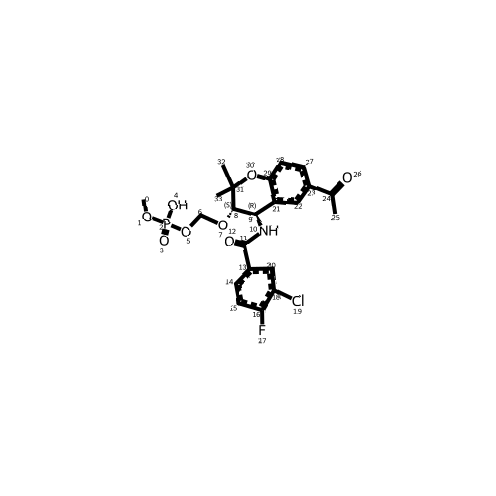 COP(=O)(O)OCO[C@H]1[C@H](NC(=O)c2ccc(F)c(Cl)c2)c2cc(C(C)=O)ccc2OC1(C)C